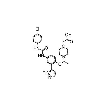 CC(Oc1ccc(NC(=O)Nc2ccc(Cl)cc2)cc1-c1ccnn1C)N1CCN(CC(=O)O)CC1